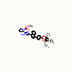 CC(C)(C)OC(=O)N1CCC[C@H]1c1nc(-c2ccc(-c3ccc(B4OC(C)(C)C(C)(C)O4)cc3)c3ccccc23)c[nH]1